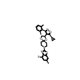 Cc1cc(F)c2nc(N3CCC4(CC3)OCC(c3c(-c5c(C)cccc5C)noc3C3CC3)O4)sc2c1